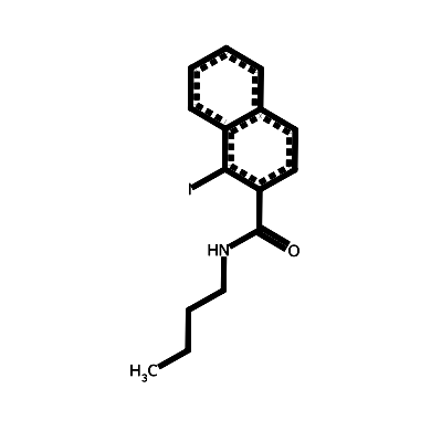 CCCCNC(=O)c1ccc2ccccc2c1I